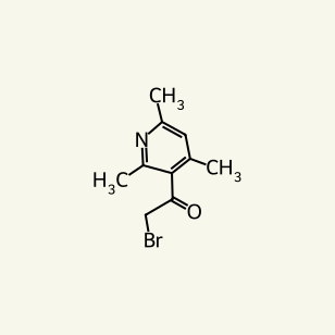 Cc1cc(C)c(C(=O)CBr)c(C)n1